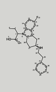 CCC(C(=O)O)n1c2c(c3cc(F)ccc31)C[C@@H](NCCc1ccccc1)CC2